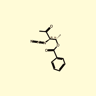 CC(=O)[C@H](N=[N+]=[N-])[C@H](C)OC(=O)c1ccccc1